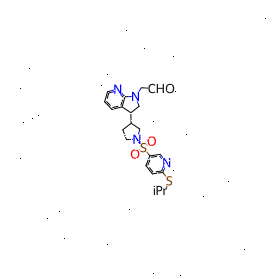 CC(C)Sc1ccc(S(=O)(=O)N2CCC(C3CN(CC=O)c4ncccc43)C2)cn1